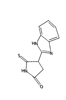 O=C1CC(c2nc3ccccc3[nH]2)C(=S)N1